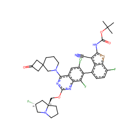 CC(C)(C)OC(=O)Nc1sc2c(F)ccc(-c3c(Cl)cc4c(N5CCCC6(CC(=O)C6)C5)nc(OC[C@@]56CCCN5C[C@H](F)C6)nc4c3F)c2c1C#N